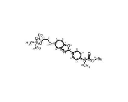 CC[C@H](COc1ccc2oc(-c3ccc(N(C)C(=O)OC(C)(C)C)cc3)nc2c1)O[Si](C)(C)C(C)(C)C